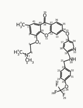 Cc1cc(OCCN(C)C)c2oc3cc(Oc4ccc(NCc5ccc(OC(F)(F)F)cc5)nc4)ccc3c(=O)c2c1